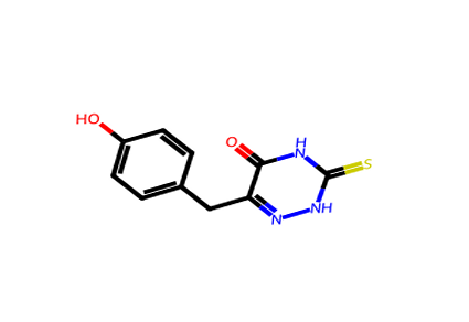 O=c1[nH]c(=S)[nH]nc1Cc1ccc(O)cc1